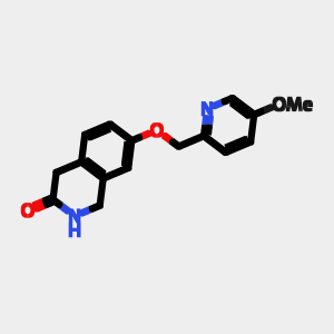 COc1ccc(COc2ccc3c(c2)CNC(=O)C3)nc1